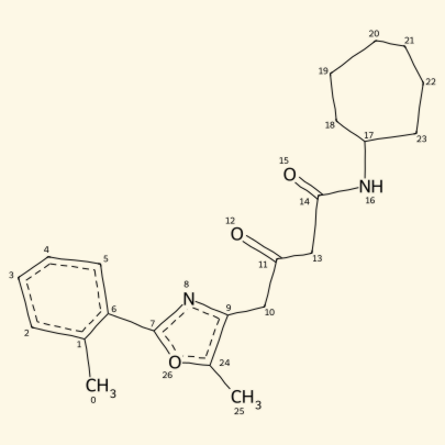 Cc1ccccc1-c1nc(CC(=O)CC(=O)NC2CCCCCC2)c(C)o1